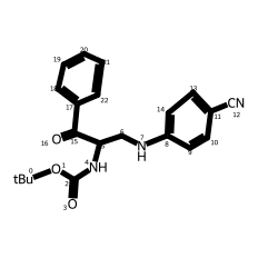 CC(C)(C)OC(=O)NC(CNc1ccc(C#N)cc1)C(=O)c1ccccc1